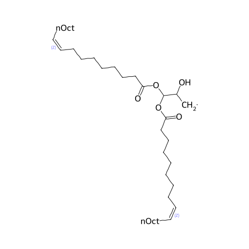 [CH2]C(O)C(OC(=O)CCCCCCC/C=C\CCCCCCCC)OC(=O)CCCCCCC/C=C\CCCCCCCC